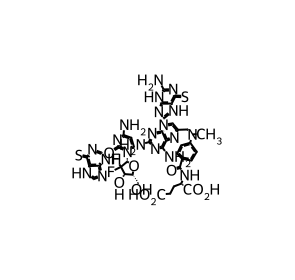 CN(Cc1cnc2nc(N)nc(N)c2n1)c1ccc(C(=O)N[C@@H](CCC(=O)O)C(=O)O)cc1.Nc1ccn([C@@H]2O[C@H](CO)[C@@H](O)C2(F)F)c(=O)n1.Nc1nc(=S)c2[nH]cnc2[nH]1.S=c1nc[nH]c2nc[nH]c12